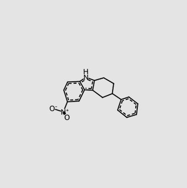 O=[N+]([O-])c1ccc2[nH]c3c(c2c1)CC(c1ccccc1)CC3